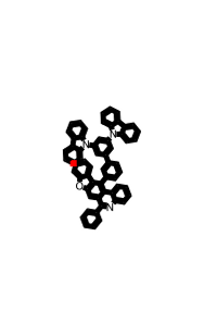 c1ccc(-c2nc3ccccc3c3c(-c4cccc(-c5cc(-n6c7ccccc7c7ccccc76)cc(-n6c7ccccc7c7ccccc76)c5)c4)c4c(cc23)oc2ccccc24)cc1